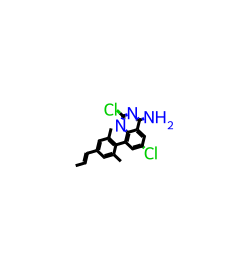 C/C=C/c1cc(C)c(-c2cc(Cl)cc3c(N)nc(Cl)nc23)c(C)c1